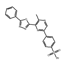 Cc1ncc(-c2ccc(S(=O)(=O)C(C)C)cc2)nc1-c1nnc(-c2ccccc2)o1